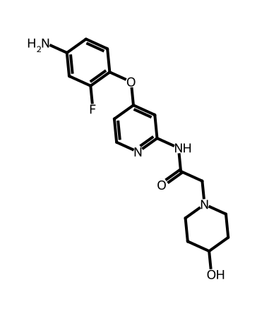 Nc1ccc(Oc2ccnc(NC(=O)CN3CCC(O)CC3)c2)c(F)c1